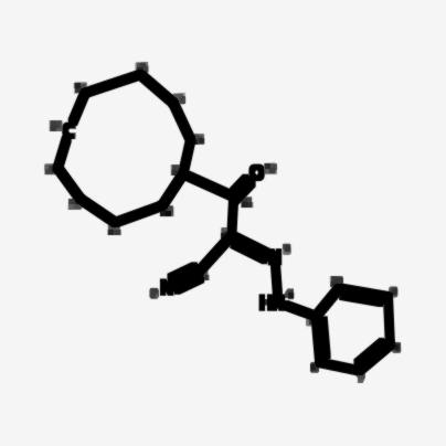 N#C/C(=N\Nc1ccccc1)C(=O)C1CCCCCCCCC1